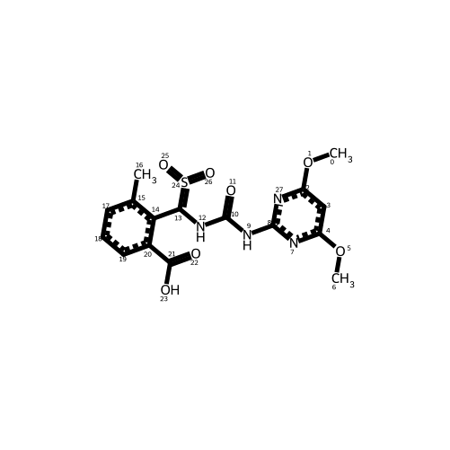 COc1cc(OC)nc(NC(=O)NC(c2c(C)cccc2C(=O)O)=S(=O)=O)n1